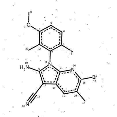 COc1ccc(C)c(-n2c(N)c(C#N)c3cc(C)c(Br)nc32)c1C